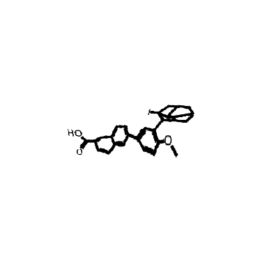 COc1ccc(-c2ccc3cc(C(=O)O)ccc3c2)cc1C1C2CC3CC(C2)CC1(I)C3